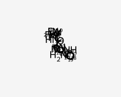 Cn1cc(NC(=O)c2cnn3ccc(N[C@@H]4CCCCC[C@@H]4N)nc23)c(C(F)(F)F)n1